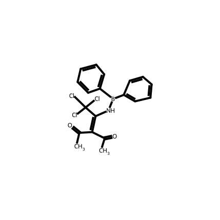 CC(=O)C(C(C)=O)=C(NB(c1ccccc1)c1ccccc1)C(Cl)(Cl)Cl